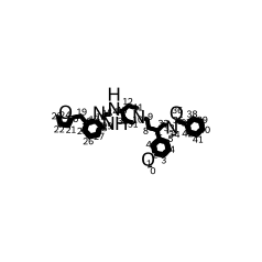 COc1cccc(C(CCN2CCC(Nc3nc4c(Cc5ccco5)cccc4[nH]3)CC2)CN(C)C(=O)c2ccccc2)c1